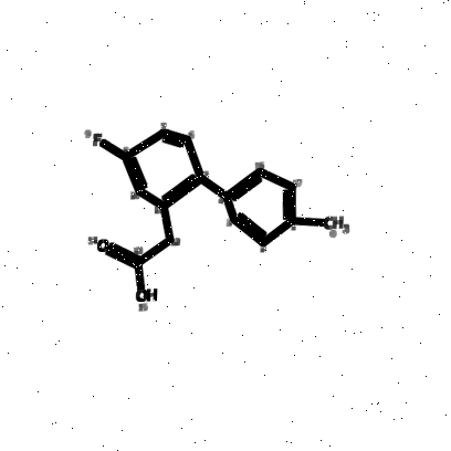 Cc1ccc(-c2ccc(F)cc2CC(=O)O)cc1